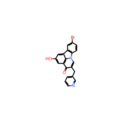 O=c1c(Cc2cccnc2)cn2c3ccc(Br)cc3c3cc(O)cc1c32